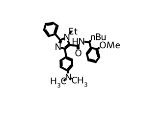 CCCCC(NC(=O)c1c(-c2ccc(N(C)C)cc2)nc(-c2ccccc2)n1CC)c1ccccc1OC